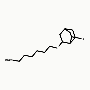 [CH2]CCCCCCCCCCCCCCCOC1CC2CCC1C([O])C2